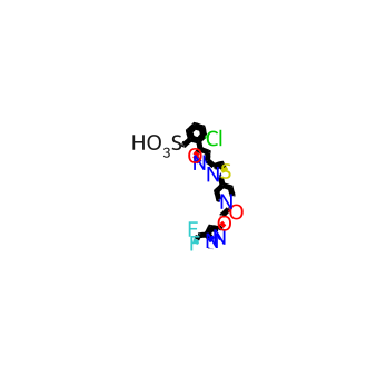 Cn1nc(OCC(=O)N2CCC(c3nc(C4=NOC(c5c(Cl)cccc5CS(=O)(=O)O)C4)cs3)CC2)cc1C(F)F